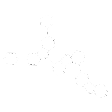 c1ccc(-c2ccc3c(c2)c2cc(-c4ccccc4)ccc2n3-c2cccc3c2sc2cccc(-c4ccc5oc6ccccc6c5c4)c23)cc1